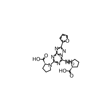 Nc1nc(N2CCC[C@H]2C(=O)O)nc2nc(-c3ccco3)nn12.O=C(O)[C@@H]1CCCN1